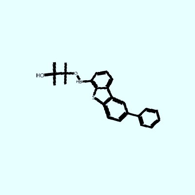 CC(C)(O)C(C)(C)OBc1cccc2c1sc1ccc(-c3ccccc3)cc12